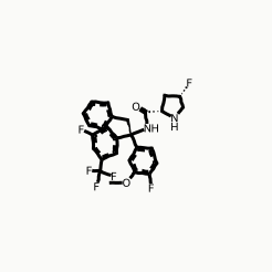 COc1cc([C@@](Cc2ccccc2)(NC(=O)[C@@H]2C[C@H](F)CN2)c2cc(F)cc(C(F)(F)F)c2)ccc1F